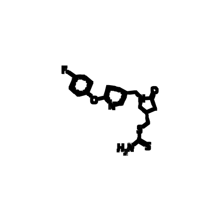 NC(=S)SC[C@@H]1CC(=O)N(Cc2ccc(Oc3ccc(F)cc3)nc2)C1